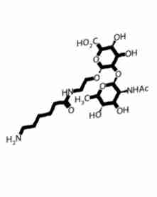 CC(=O)N[C@H]1C(O)[C@H](O)C(C)O[C@H]1OC1C(O)[C@H](O)C(C(=O)O)O[C@H]1OCCNC(=O)CCCCCN